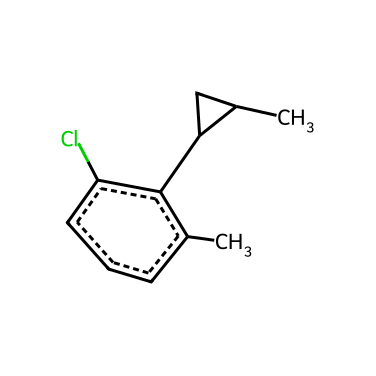 Cc1cccc(Cl)c1C1CC1C